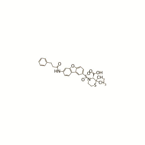 CC1(C)SCCN(S(=O)(=O)c2ccc3oc4cc(NC(=O)CCc5ccccc5)ccc4c3c2)[C@H]1C(=O)O